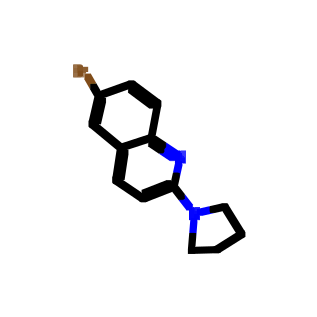 Brc1ccc2nc(N3CCCC3)ccc2c1